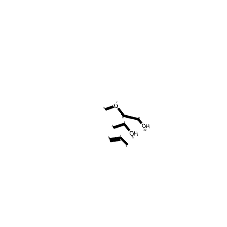 C=CC.CCO.COCCO